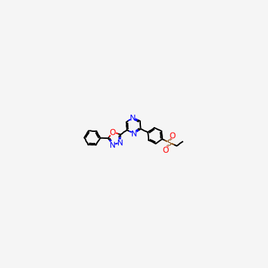 CCS(=O)(=O)c1ccc(-c2cncc(-c3nnc(-c4ccccc4)o3)n2)cc1